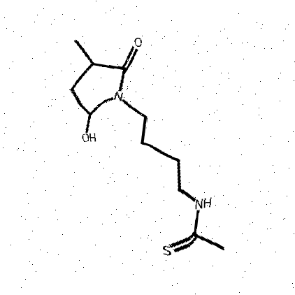 CC(=S)NCCCCN1C(=O)C(C)CC1O